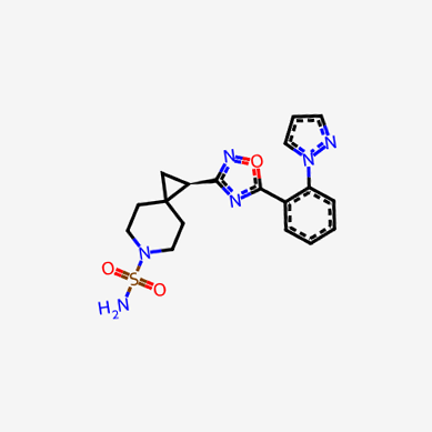 NS(=O)(=O)N1CCC2(CC1)C[C@H]2c1noc(-c2ccccc2-n2cccn2)n1